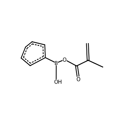 C=C(C)C(=O)OB(O)c1ccccc1